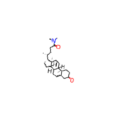 C[C@H](CCC(=O)N(C)C)[C@H]1CC[C@H]2[C@@H]3CC=C4CC(=O)CC[C@]4(C)[C@H]3CC[C@]12C